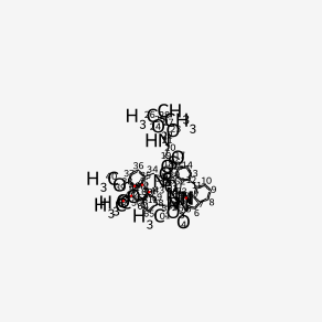 CCOC(=O)c1cc2cccc(-c3ccc(S(=O)(=O)CCNC(=O)OC(C)(C)C)c(S(=O)(=O)N(Cc4ccc(OC)cc4)Cc4ccc(OC)cc4)c3-c3nnn(Cc4ccc(OC)cc4)n3)c2[nH]1